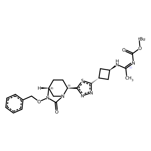 C/C(=N/C(=O)OC(C)(C)C)N[C@H]1C[C@H](c2nnc([C@@H]3CC[C@@H]4CN3C(=O)N4OCc3ccccc3)s2)C1